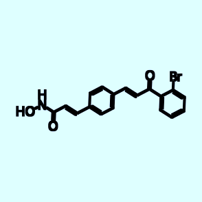 O=C(C=Cc1ccc(C=CC(=O)c2ccccc2Br)cc1)NO